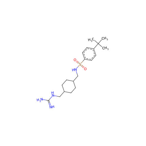 CC(C)(C)c1ccc(S(=O)(=O)NCC2CCC(CNC(=N)N)CC2)cc1